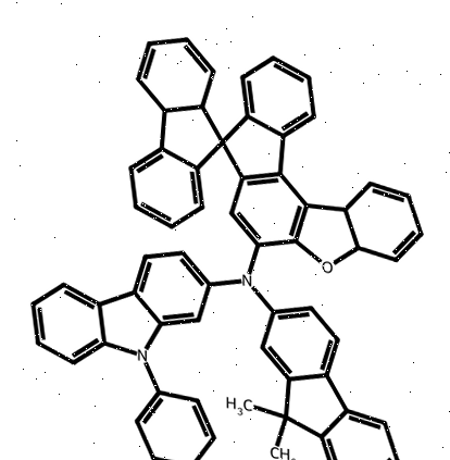 CC1(C)c2ccccc2-c2ccc(N(c3ccc4c5ccccc5n(C5=CCCC=C5)c4c3)c3cc4c(c5c3OC3C=CC=CC53)-c3ccccc3C43c4ccccc4C4C=CC=CC43)cc21